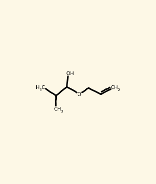 C=CCOC(O)C(C)C